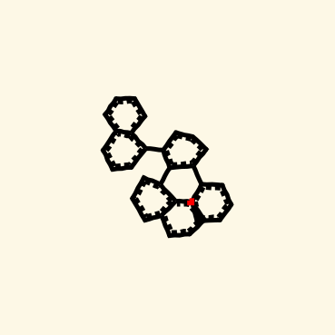 c1ccc(-c2cccc(-c3cccc4ccccc34)c2-c2cccc3ccccc23)cc1